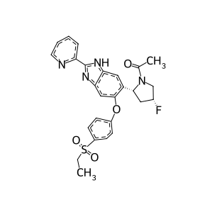 CCS(=O)(=O)c1ccc(Oc2cc3nc(-c4ccccn4)[nH]c3cc2[C@H]2C[C@@H](F)CN2C(C)=O)cc1